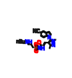 CCCCNC=CCS(=O)(=O)NC(=O)/C=C/c1c(C)nn(C)c1-n1ccc2cc(C#N)ccc21